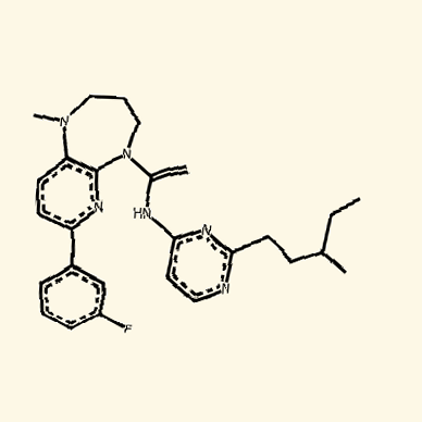 C=C(Nc1ccnc(CCC(C)CC)n1)N1CCCN(C)c2ccc(-c3cccc(F)c3)nc21